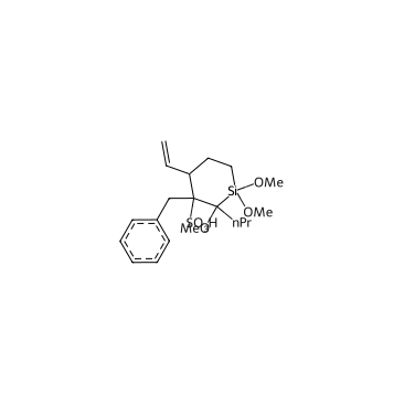 C=CC1CC[Si](OC)(OC)C(CCC)(OC)C1(Cc1ccccc1)S(=O)(=O)O